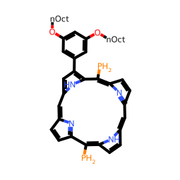 CCCCCCCCOc1cc(OCCCCCCCC)cc(-c2cc3cc4nc(c(P)c5ccc(cc6nc(c(P)c2[nH]3)C=C6)[nH]5)C=C4)c1